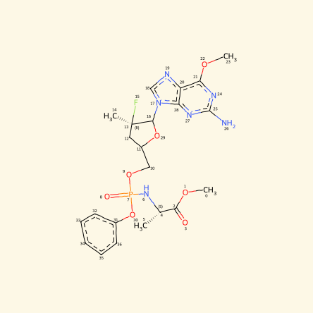 COC(=O)[C@H](C)NP(=O)(OCC1C[C@@](C)(F)C(n2cnc3c(OC)nc(N)nc32)O1)Oc1ccccc1